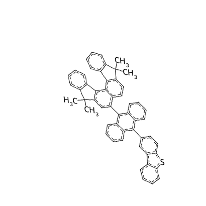 CC1(C)c2ccccc2-c2c1ccc1c(-c3c4ccccc4c(-c4ccc5sc6ccccc6c5c4)c4ccccc34)cc3c(c21)-c1ccccc1C3(C)C